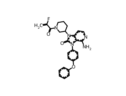 C=C(F)C(=O)N1CCCC(n2c(=O)n(-c3ccc(Oc4ccccc4)cc3)c3c(N)nccc32)C1